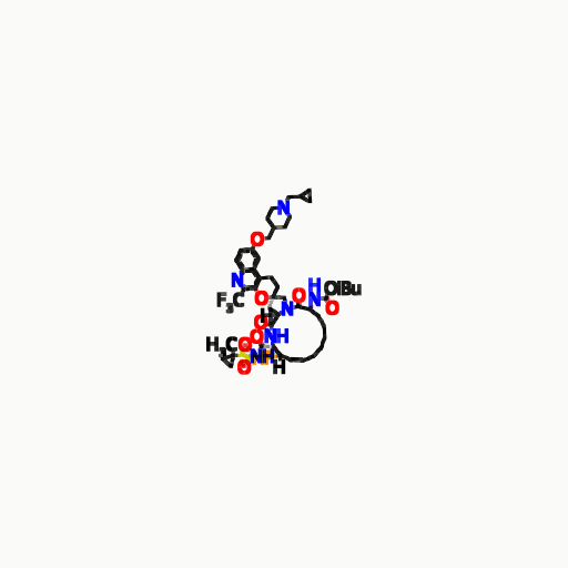 CC(C)COC(=O)N[C@H]1CCCCC/C=C\[C@@H]2P[C@@]2(C(=O)NS(=O)(=O)C2(C)CC2)NC(=O)[C@@H]2C[C@]3(CCc4c(c(C(F)(F)F)nc5ccc(OCC6CCN(CC7CC7)CC6)cc45)O3)CN2C1=O